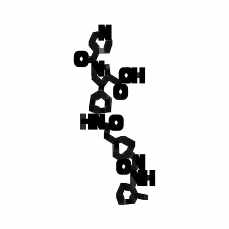 Cc1ccccc1Nc1nc2ccc(CC(=O)Nc3ccc(C4CN(C(=O)c5ccncc5)CC4C(=O)O)cc3)cc2o1